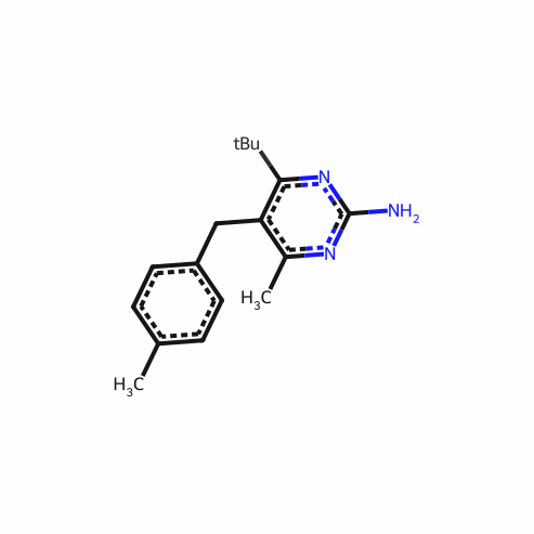 Cc1ccc(Cc2c(C)nc(N)nc2C(C)(C)C)cc1